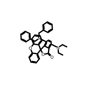 CCN(CC)c1ccc(N(Cc2ccccc2)Cc2ccccc2)c2c1C(=O)OC21c2ccccc2Oc2ccccc21